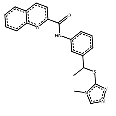 CC(Sc1nncn1C)c1cccc(NC(=O)c2ccc3ccccc3n2)c1